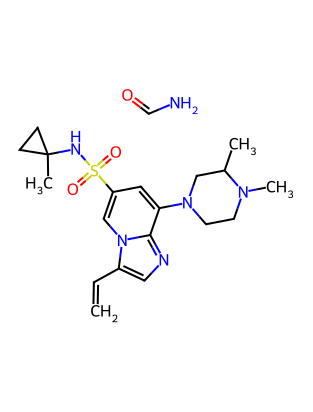 C=Cc1cnc2c(N3CCN(C)C(C)C3)cc(S(=O)(=O)NC3(C)CC3)cn12.NC=O